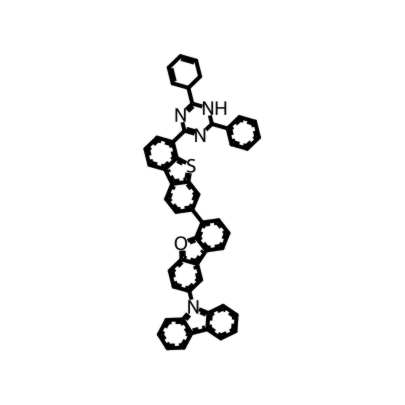 C1=CCC(C2=NC(c3cccc4c3sc3cc(-c5cccc6c5oc5ccc(-n7c8ccccc8c8ccccc87)cc56)ccc34)=NC(c3ccccc3)N2)C=C1